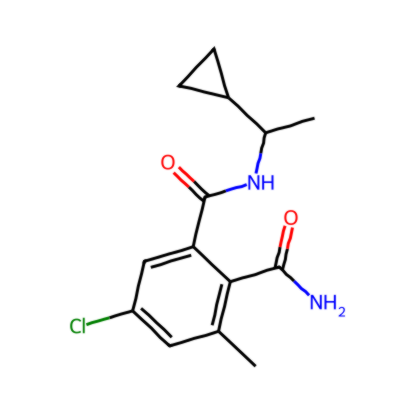 Cc1cc(Cl)cc(C(=O)NC(C)C2CC2)c1C(N)=O